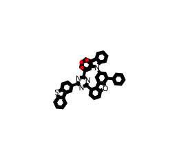 c1ccc(-c2nc(-c3ccc4sc5ccccc5c4c3)nc(-c3cccc4oc5c(-c6ccccc6)cc(-n6c7ccccc7c7ccccc76)cc5c34)n2)cc1